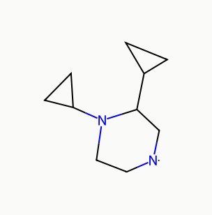 C1CN(C2CC2)C(C2CC2)C[N]1